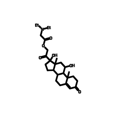 CCN(CC)CC(=O)OCC(=O)C1(O)CCC2C3CCC4=CC(=O)CCC4(C)C3C(O)CC21C